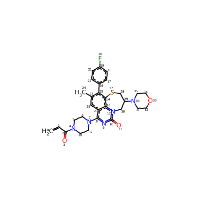 C=CC(=O)N1CCN(c2nc(=O)n3c4c(c(-c5ccc(F)cc5)c(C)cc24)SCC(N2CCOCC2)C3)CC1